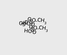 CCOS(=O)(=O)O.CCOS(=O)(=O)O.O=S=O